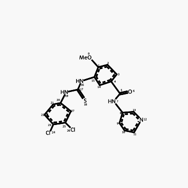 COc1ccc(C(=O)Nc2cccnc2)cc1NC(=S)Nc1ccc(Cl)c(Cl)c1